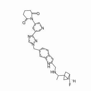 CC(NCc1cc2ccc(Cn3cnc(-c4cncc(N5C(=O)CCCC5=O)c4)n3)cc2[nH]1)C12CC(C1)[C@@H](F)C2